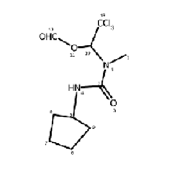 CN(C(=O)NC1CCCC1)C(OC=O)C(Cl)(Cl)Cl